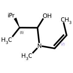 C/C=C\N(C)C(O)[C@@H](C)C(C)C